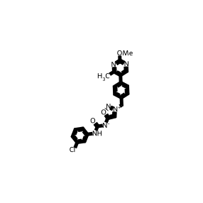 COc1ncc(-c2ccc(C[n+]3cc([N-]C(=O)Nc4cccc(Cl)c4)on3)cc2)c(C)n1